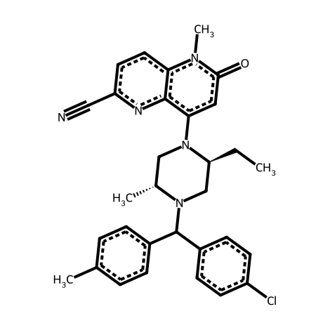 CC[C@H]1CN(C(c2ccc(C)cc2)c2ccc(Cl)cc2)[C@H](C)CN1c1cc(=O)n(C)c2ccc(C#N)nc12